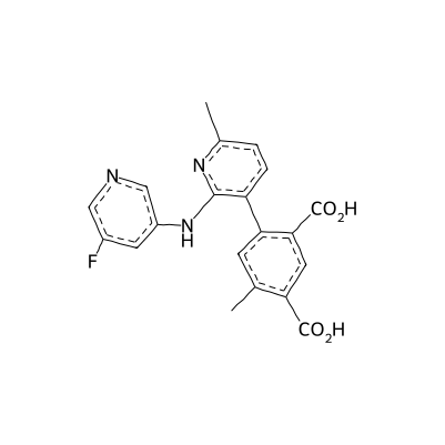 Cc1ccc(-c2cc(C)c(C(=O)O)cc2C(=O)O)c(Nc2cncc(F)c2)n1